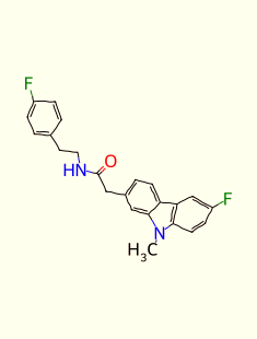 Cn1c2ccc(F)cc2c2ccc(CC(=O)NCCc3ccc(F)cc3)cc21